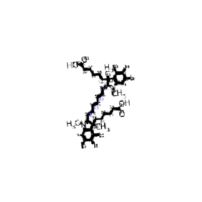 CN1\C(=C/C=C/C=C/C=C/C2=[N+](C)c3cc(I)c(I)c(I)c3C2(C)CCCCCC(=O)O)C(C)(CCCCCC(=O)O)c2c1cc(I)c(I)c2I